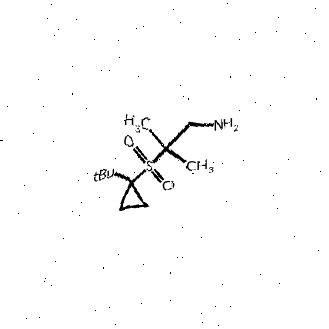 CC(C)(C)C1(S(=O)(=O)C(C)(C)CN)CC1